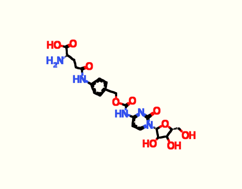 N[C@@H](CCC(=O)Nc1ccc(COC(=O)Nc2ccn([C@@H]3O[C@H](CO)C(O)C3O)c(=O)n2)cc1)C(=O)O